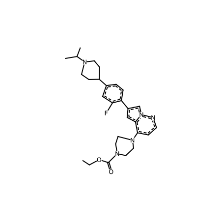 CCOC(=O)N1CCN(c2ccnn3cc(-c4ccc(C5CCN(C(C)C)CC5)cc4F)cc23)CC1